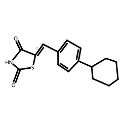 O=C1NC(=O)/C(=C/c2ccc(C3CCCCC3)cc2)S1